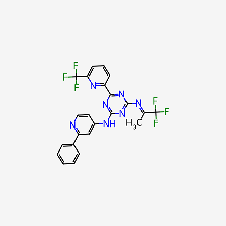 C/C(=N\c1nc(Nc2ccnc(-c3ccccc3)c2)nc(-c2cccc(C(F)(F)F)n2)n1)C(F)(F)F